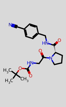 CC(C)(C)OC(=O)NCC(=O)N1CCC[C@H]1C(=O)NCc1ccc(C#N)cc1